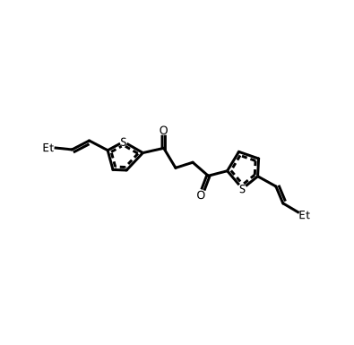 CC/C=C/c1ccc(C(=O)CCC(=O)c2ccc(/C=C/CC)s2)s1